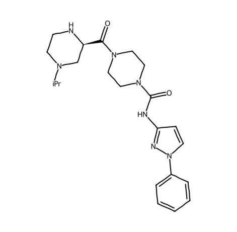 CC(C)N1CCN[C@@H](C(=O)N2CCN(C(=O)Nc3ccn(-c4ccccc4)n3)CC2)C1